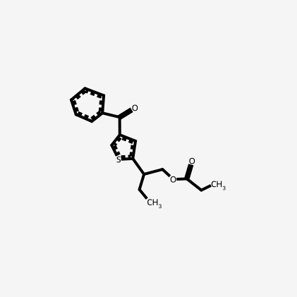 CCC(=O)OCC(CC)c1cc(C(=O)c2ccccc2)cs1